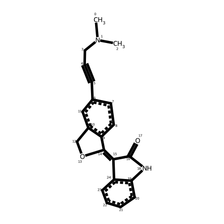 CN(C)CC#Cc1ccc2c(c1)COC2=C1C(=O)Nc2ccccc21